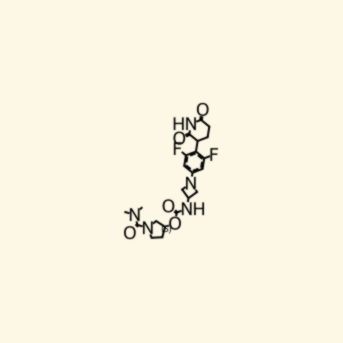 CN(C)C(=O)N1CC[C@H](OC(=O)NC2CN(c3cc(F)c(C4CCC(=O)NC4=O)c(F)c3)C2)C1